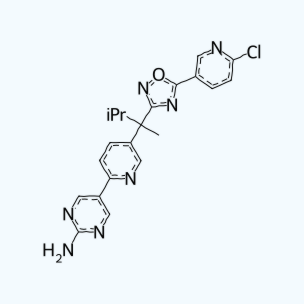 CC(C)C(C)(c1ccc(-c2cnc(N)nc2)nc1)c1noc(-c2ccc(Cl)nc2)n1